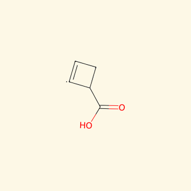 O=C(O)C1[C]=CC1